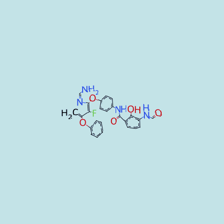 C=C(Oc1ccccc1)/C(F)=C(\N=C/N)Oc1ccc(NC(=O)c2cccc(NC=O)c2O)cc1